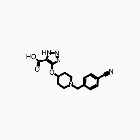 N#Cc1ccc(CN2CCC(Oc3nn[nH]c3C(=O)O)CC2)cc1